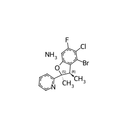 C[C@@H]1c2c(cc(F)c(Cl)c2Br)O[C@]1(C)c1ccccn1.N